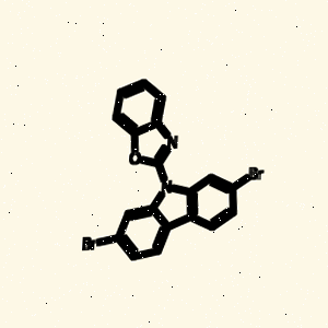 Brc1ccc2c3ccc(Br)cc3n(-c3nc4ccccc4o3)c2c1